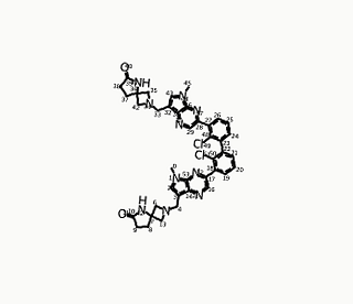 Cn1cc(CN2CC3(CCC(=O)N3)C2)c2ncc(-c3cccc(-c4cccc(-c5cnc6c(CN7CC8(CCC(=O)N8)C7)cn(C)c6n5)c4Cl)c3Cl)nc21